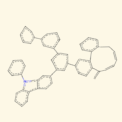 C=C1/C=C\C=C/Cc2ccccc2-c2cc(-c3cc(-c4cccc(-c5ccccc5)c4)cc(-c4ccc5c6ccccc6n(-c6ccccc6)c5c4)c3)ccc21